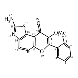 COc1c(-c2ccccc2F)oc2ccc3nc(N)sc3c2c1=O